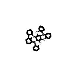 c1ccc2c(c1)Oc1c3c(c4c5c1-n1c6ccccc6c6cccc(c61)B5c1ccccc1O4)Sc1ccccc1B23